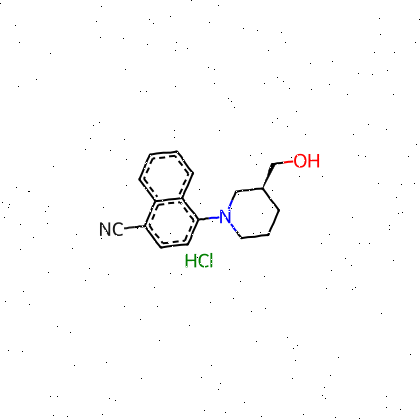 Cl.N#Cc1ccc(N2CCC[C@H](CO)C2)c2ccccc12